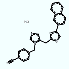 Cl.N#Cc1ccc(Cn2cncc2Cc2nc(-c3ccc4ccccc4c3)cs2)cc1